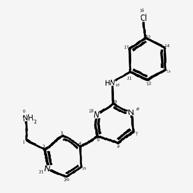 NCc1cc(-c2ccnc(Nc3cccc(Cl)c3)n2)ccn1